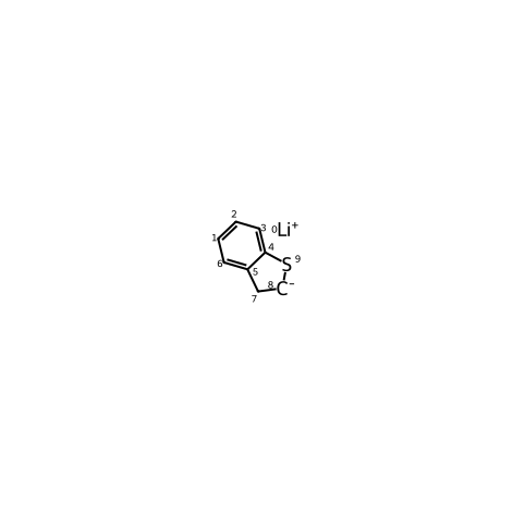 [Li+].c1ccc2c(c1)C[CH-]S2